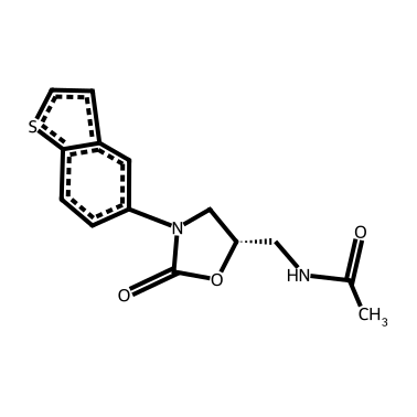 CC(=O)NC[C@H]1CN(c2ccc3sccc3c2)C(=O)O1